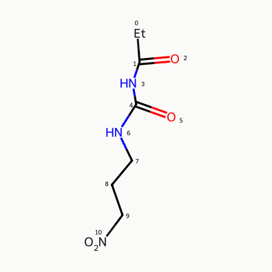 CCC(=O)NC(=O)NCCC[N+](=O)[O-]